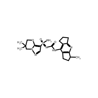 CC1CCc2c1nc1c(c2NC(=O)N=S(N)(=O)c2cnn3c2OCC(C)(C)C3)CCC1